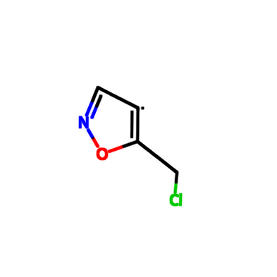 ClCc1[c]cno1